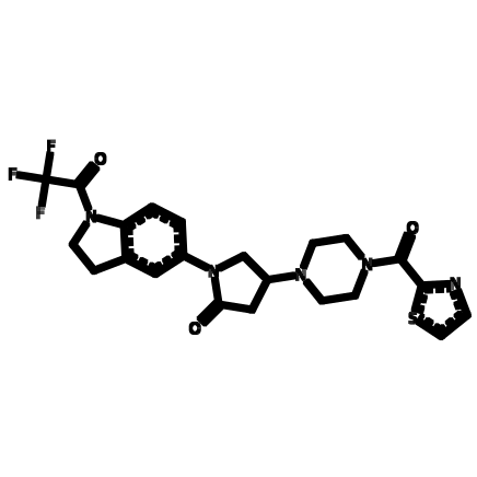 O=C(c1nccs1)N1CCN(C2CC(=O)N(c3ccc4c(c3)CCN4C(=O)C(F)(F)F)C2)CC1